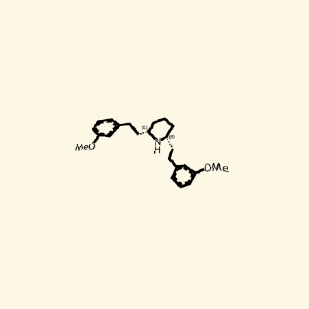 COc1cccc(CC[C@H]2CCC[C@@H](CCc3cccc(OC)c3)N2)c1